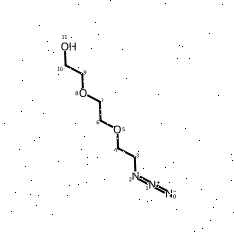 [N-]=[N+]=NCCOCCOC[CH]O